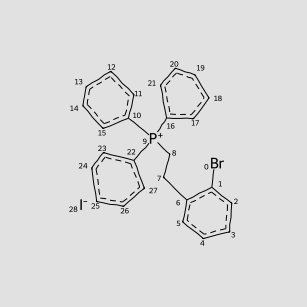 Brc1ccccc1CC[P+](c1ccccc1)(c1ccccc1)c1ccccc1.[I-]